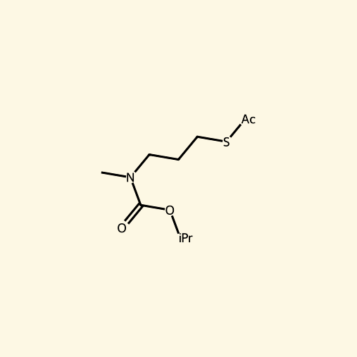 CC(=O)SCCCN(C)C(=O)OC(C)C